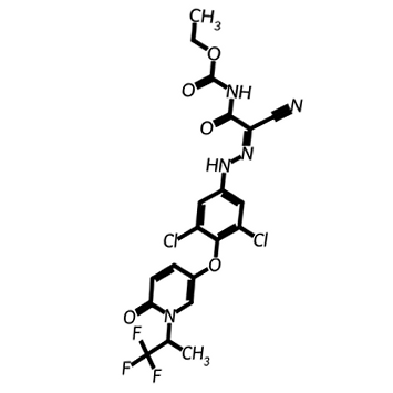 CCOC(=O)NC(=O)C(C#N)=NNc1cc(Cl)c(Oc2ccc(=O)n(C(C)C(F)(F)F)c2)c(Cl)c1